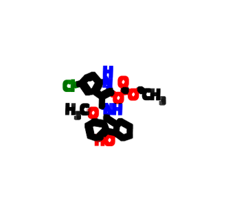 CCOC(=O)Oc1[nH]c2ccc(Cl)cc2c1CNCC1CCCCC1(O)c1cccc(OC)c1